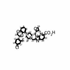 C[C@H]1CN(c2cccc3c2O[C@H](c2ccc(Cl)cc2F)CO3)CCN1Cc1nc2ccc(C(=O)O)nc2n1C[C@@H]1CCO1